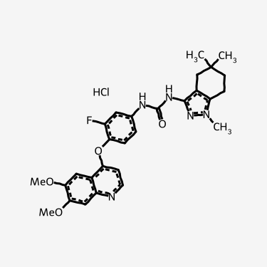 COc1cc2nccc(Oc3ccc(NC(=O)Nc4nn(C)c5c4CC(C)(C)CC5)cc3F)c2cc1OC.Cl